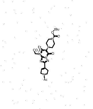 CCOC(=O)Cn1c(CC)c(N2CCN(C(=O)OC(C)(C)C)CC2)c(=O)n2nc(C3=CCN(C(C)=O)CC3)nc12